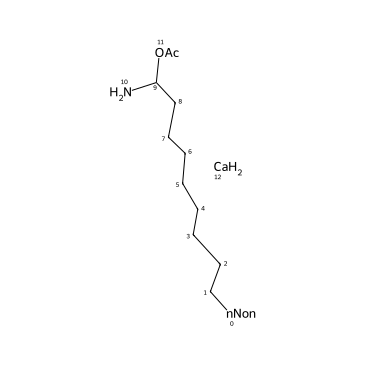 CCCCCCCCCCCCCCCCCC(N)OC(C)=O.[CaH2]